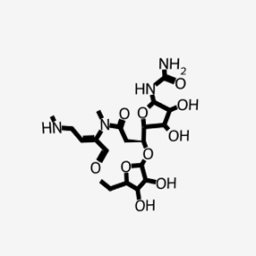 CCC1OC(O[C@@H](CC(=O)N(C)/C(C=O)=C\CNC)C2OC(NC(N)=O)C(O)C2O)C(O)C1O